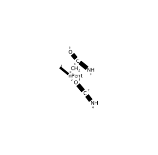 C.CCCCCC.N=C=O.N=C=O